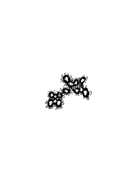 c1ccc(-n2c3ccccc3c3ccc(N(c4ccc(-c5ccc6c(c5)-c5ccccc5C65c6ccccc6-c6ccccc65)cc4)c4cc5ccccc5c5ccccc45)cc32)cc1